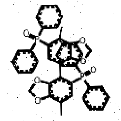 Cc1cc(P(=O)(c2ccccc2)c2ccccc2)c(-c2cc(P(=O)(c3ccccc3)c3ccccc3)c(C)c3c2OCO3)c2c1OCO2